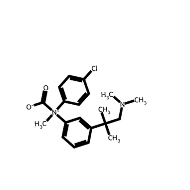 CN(C)CC(C)(C)c1cccc([N+](C)(C(=O)[O-])c2ccc(Cl)cc2)c1